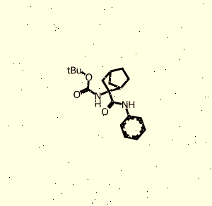 CC(C)(C)OC(=O)NC1(C(=O)Nc2ccccc2)CC2CCC1C2